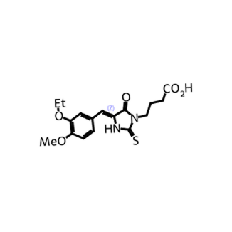 CCOc1cc(/C=C2\NC(=S)N(CCCC(=O)O)C2=O)ccc1OC